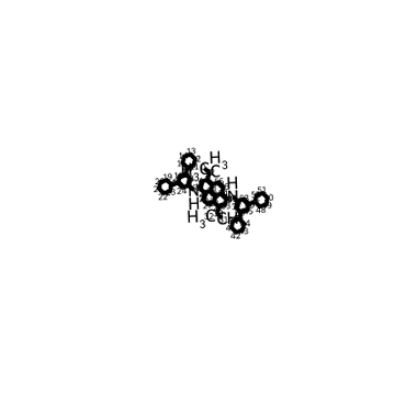 CC(C)c1cc(Nc2cc(C3CCCCC3)cc(C3CCCCC3)c2)c2ccc3c(C(C)C)cc(Nc4cc(C5CCCCC5)cc(C5CCCCC5)c4)c4ccc1c2c43